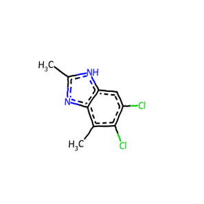 Cc1nc2c(C)c(Cl)c(Cl)cc2[nH]1